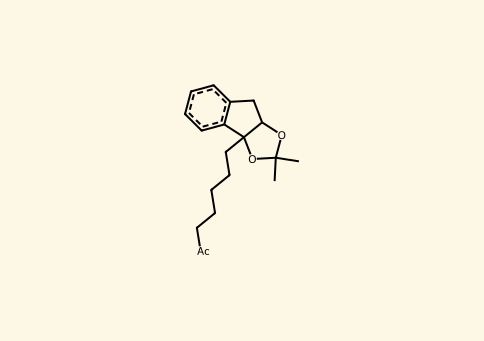 CC(=O)CCCCCC12OC(C)(C)OC1Cc1ccccc12